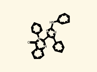 O=c1c2ccccc2nc(-c2sc(Nc3ccccc3)nc2-c2ccccc2)n1-c1ccccc1